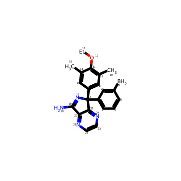 Bc1cccc(C2(c3cc(C)c(OCC)c(C)c3)N=C(N)c3nccnc32)c1